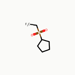 O=S(=O)(CC(F)(F)F)[C]1CCCC1